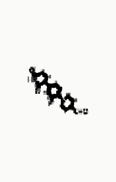 O=CC1CCN(c2ccc(C3CCC(=O)NC3=O)cc2F)CC1